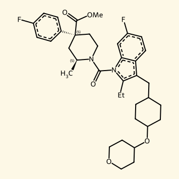 CCc1c(CC2CCC(OC3CCOCC3)CC2)c2ccc(F)cc2n1C(=O)N1CC[C@@](C(=O)OC)(c2ccc(F)cc2)C[C@@H]1C